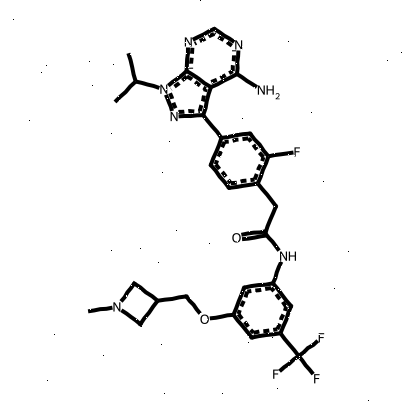 CC(C)n1nc(-c2ccc(CC(=O)Nc3cc(OCC4CN(C)C4)cc(C(F)(F)F)c3)c(F)c2)c2c(N)ncnc21